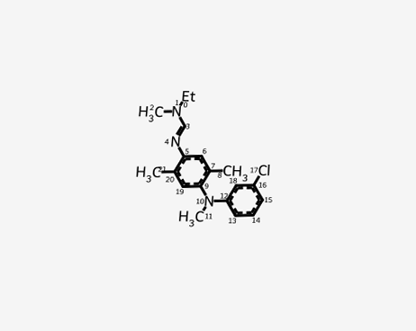 CCN(C)C=Nc1cc(C)c(N(C)c2cccc(Cl)c2)cc1C